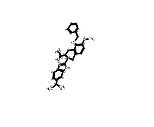 COc1ccc2c(c1OCc1ccccc1)CC(C(=O)O)N(c1nc3ccc(C(C)C)cc3o1)C2